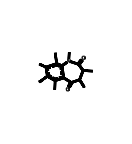 Cc1c(C)c(C)c2c(c1C)C(=O)C(C)C(C)C(=O)N2C